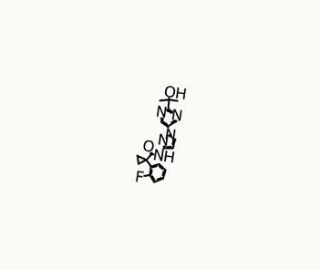 CC(C)(O)c1ncc(-n2ccc(NC(=O)C3(c4ccccc4F)CC3)n2)cn1